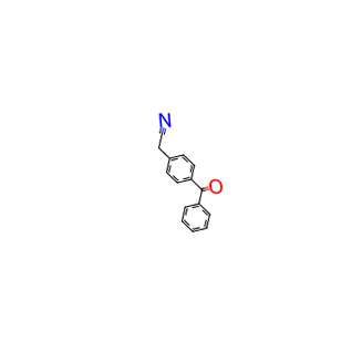 N#CCc1ccc(C(=O)c2ccccc2)cc1